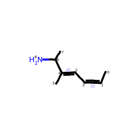 C/C=C\C=C(/C)C(C)N